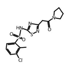 Cc1c(Cl)cccc1S(=O)(=O)Nc1nc(CC(=O)N2CCCC2)ns1